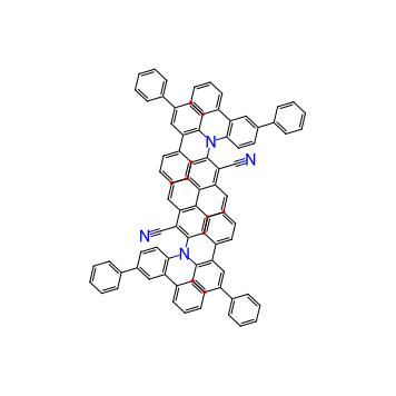 N#Cc1c(N(c2ccc(-c3ccccc3)cc2-c2ccccc2)c2ccc(-c3ccccc3)cc2-c2ccccc2)cc2ccc3c(C#N)c(N(c4ccc(-c5ccccc5)cc4-c4ccccc4)c4ccc(-c5ccccc5)cc4-c4ccccc4)cc4ccc1c2c43